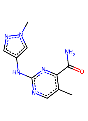 Cc1cnc(Nc2cnn(C)c2)nc1C(N)=O